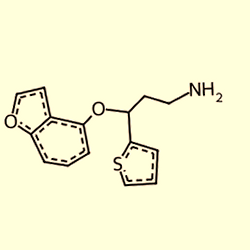 NCCC(Oc1cccc2occc12)c1cccs1